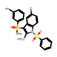 CCCc1cccc(P(=O)(OC)c2c(C(=O)OCC)n(S(=O)(=O)c3ccccc3)c3ccc(Cl)cc23)c1